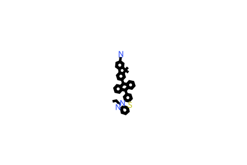 CCc1nc2cccc3c2n1-c1cc(-c2c4ccccc4c(-c4ccc5c(c4)C(C)(C)c4cc(C#N)ccc4-5)c4ccccc24)ccc1S3